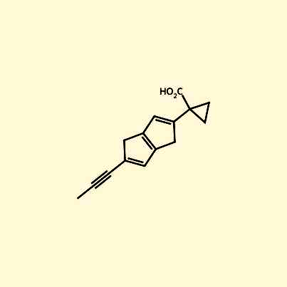 CC#CC1=CC2=C(C=C(C3(C(=O)O)CC3)C2)C1